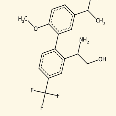 COc1ccc(C(C)C)cc1-c1ccc(C(F)(F)F)cc1C(N)CO